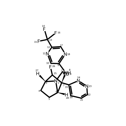 O=CN1[C@@H]2CC[C@H]1[C@@](Nc1cnc(C(F)(F)F)cn1)(c1cccnn1)C2F